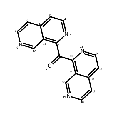 O=C(c1nccc2ccncc12)c1nccc2ccncc12